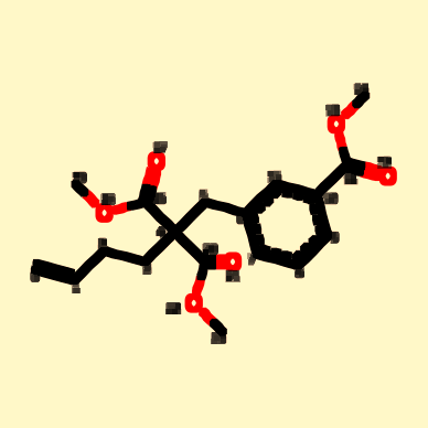 C=CCCC(Cc1cccc(C(=O)OC)c1)(C(=O)OC)C(=O)OC